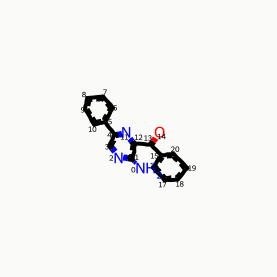 Nc1ncc(-c2ccccc2)nc1C(=O)c1ccccc1